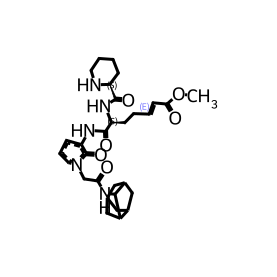 COC(=O)/C=C/CC[C@H](NC(=O)[C@@H]1CCCCN1)C(=O)Nc1cccn(CC(=O)NC2C3CC4CC(C3)C2C4)c1=O